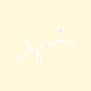 C=C(C(=O)OCC(C(F)(F)F)C(F)(F)F)C(F)(F)F